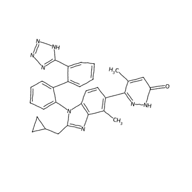 Cc1cc(=O)[nH]nc1-c1ccc2c(nc(CC3CC3)n2-c2ccccc2-c2ccccc2-c2nnn[nH]2)c1C